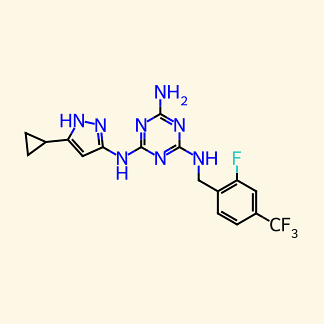 Nc1nc(NCc2ccc(C(F)(F)F)cc2F)nc(Nc2cc(C3CC3)[nH]n2)n1